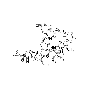 C=C[C@@H]1C[C@]1(NC(=O)[C@@H]1C[C@@H](Oc2ncc(OC)c3ccc(Cl)cc23)CN1C(=O)[C@@H](Nc1nc(-c2ccccc2)c(C)s1)C(C)(C)C)C(=O)NS(=O)(=O)C1CC1